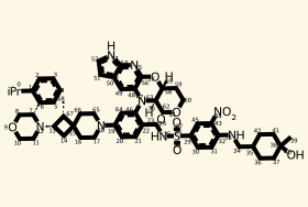 CC(C)c1ccccc1[C@H]1COCCN1[C@H]1CC2(CCN(c3ccc(C(=O)NS(=O)(=O)c4ccc(NCC5CCC(C)(O)CC5)c([N+](=O)[O-])c4)c(N4c5cc6cc[nH]c6nc5O[C@@H]5CCOC[C@H]54)c3)CC2)[C@H]1C